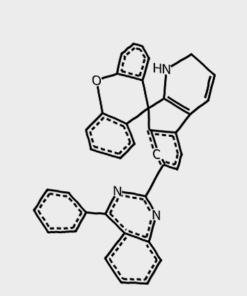 C1=CC2=C(NC1)C1(c3ccccc3Oc3ccccc31)c1cc(-c3nc(-c4ccccc4)c4ccccc4n3)ccc12